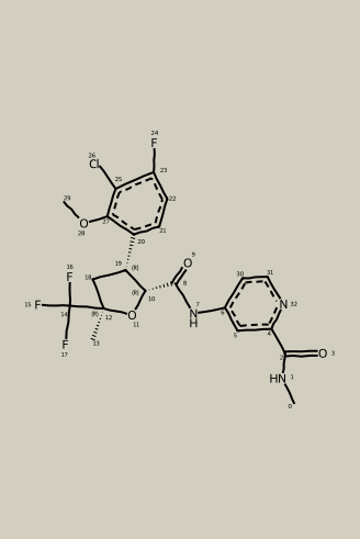 CNC(=O)c1cc(NC(=O)[C@@H]2O[C@@](C)(C(F)(F)F)C[C@@H]2c2ccc(F)c(Cl)c2OC)ccn1